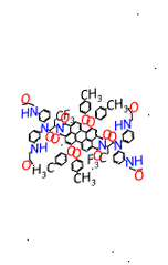 Cc1ccc(Oc2cc3c4c(cc(Oc5ccc(C)cc5)c5c6c(Oc7ccc(C)cc7)cc7c8c(cc(Oc9ccc(C)cc9)c(c2c45)c86)C(=O)N(C(CC(F)(F)F)C(=O)N(c2cccc(NCC4CO4)c2)c2cccc(NCC4CO4)c2)C7=O)C(=O)N(C(CC(F)(F)F)C(=O)N(c2cccc(NCC4CO4)c2)c2cccc(NCC4CO4)c2)C3=O)cc1